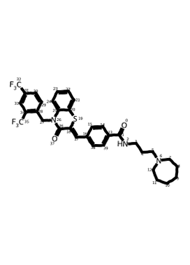 O=C(NCCCN1CCCCCC1)c1ccc(/C=C2\Sc3ccccc3N(Cc3ccc(C(F)(F)F)cc3C(F)(F)F)C2=O)cc1